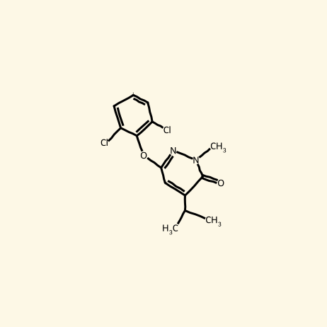 CC(C)c1cc(Oc2c(Cl)c[c]cc2Cl)nn(C)c1=O